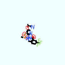 CCS(=O)(=O)c1cc(OC(C)C#N)cnc1-n1ncc2ccc(C(F)(F)F)cc2c1=O